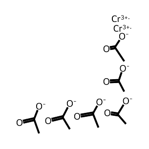 CC(=O)[O-].CC(=O)[O-].CC(=O)[O-].CC(=O)[O-].CC(=O)[O-].CC(=O)[O-].[Cr+3].[Cr+3]